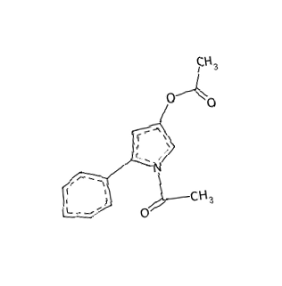 CC(=O)Oc1cc(-c2ccccc2)n(C(C)=O)c1